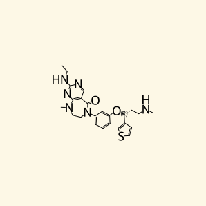 CCNc1ncc2c(n1)N(C)CCN(c1cccc(O[C@H](CCNC)c3ccsc3)c1)C2=O